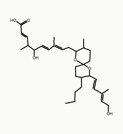 CCCCC1CCC2(CCC(C)C(C/C=C(C)/C=C/C(O)C(C)/C=C/C(=O)O)O2)OC1/C=C/C(C)=C/CO